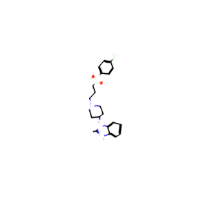 CCc1nc2ccccc2n1C1CCN(CCCS(=O)(=O)c2ccc(F)cc2)CC1